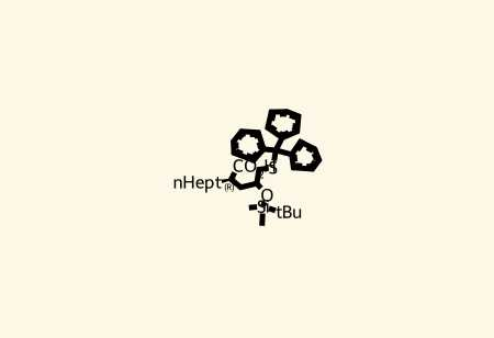 CCCCCCC[C@H](CC(CSC(c1ccccc1)(c1ccccc1)c1ccccc1)O[Si](C)(C)C(C)(C)C)C(=O)O